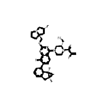 C=C(F)C(=O)N1CCN(c2nc(OC[C@@]34CCCN3C[C@H](F)C4)nc3c(F)c(-c4cccc5c4[C@H]4C[C@H]4C5)ccc23)C[C@@H]1CC#N